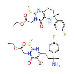 CCOC(=O)Cn1c(SC)nc(CC[C@@](C)(N)c2ccc(F)cc2)c(Br)c1=O.CCOC(=O)Cn1c(SC)nc2c(c1=O)N[C@@](C)(c1ccc(F)cc1)CC2